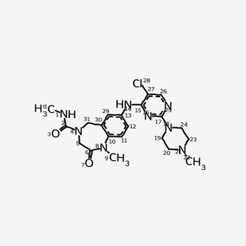 CNC(=O)N1CC(=O)N(C)c2ccc(Nc3nc(N4CCN(C)CC4)ncc3Cl)cc2C1